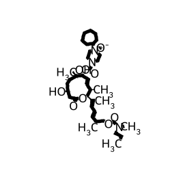 CCCN(C)C(=O)OCC(C)/C=C/C=C(\C)[C@H]1OC(=O)C[C@@H](O)CC[C@](C)(O)[C@@H](OC(=O)N2CC[N+]([O-])(C3CCCCCC3)CC2)/C=C/[C@@H]1C